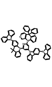 CC1(C)c2ccccc2N(c2cc(-n3c4ccccc4c4cc(-n5c6ccccc6c6ccccc65)ccc43)cc(N3c4ccccc4C(c4ccccc4)(c4ccccc4)c4ccncc43)n2)c2ccc(-n3c4ccccc4c4ccccc43)cc21